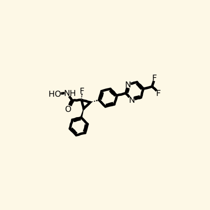 O=C(NO)[C@]1(F)[C@H](c2ccccc2)[C@H]1c1ccc(-c2ncc(C(F)F)cn2)cc1